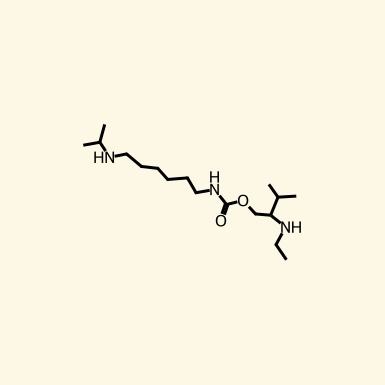 CCNC(COC(=O)NCCCCCCNC(C)C)C(C)C